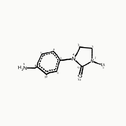 CCN1CCN(c2ccc(N)cc2)C1=O